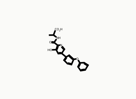 CC(NC(=O)c1ncc(-c2cccc(Oc3ccccc3)c2)cc1O)C(=O)O